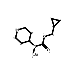 CC(C)(C)N(C(=O)OCC1CC1)C1CCNCC1